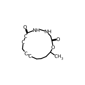 CC1CCCCCCCCC(=O)NCNCC(=O)O1